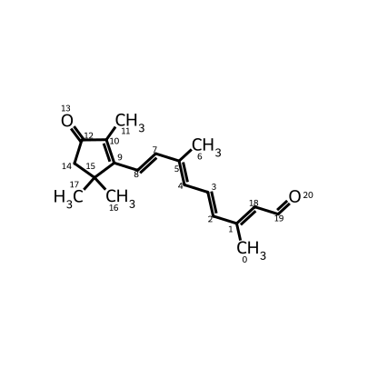 CC(C=CC=C(C)C=CC1=C(C)C(=O)CC1(C)C)=CC=O